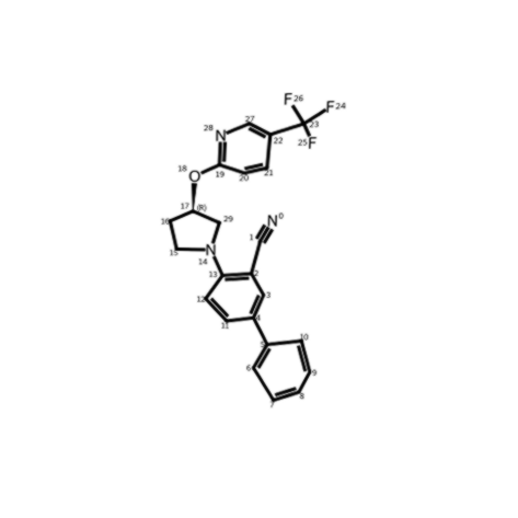 N#Cc1cc(-c2ccccc2)ccc1N1CC[C@@H](Oc2ccc(C(F)(F)F)cn2)C1